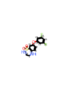 O=S1(=O)NCCNc2ccc(Oc3cc(F)cc(F)c3)cc21